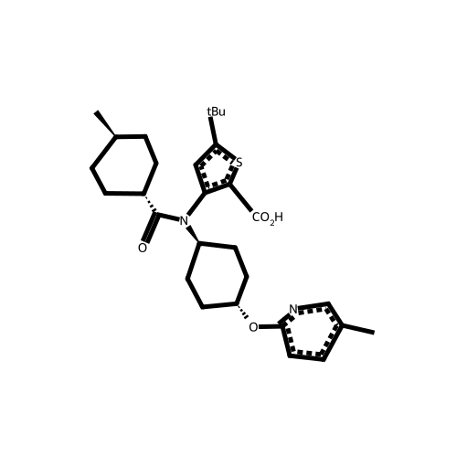 Cc1ccc(O[C@H]2CC[C@H](N(c3cc(C(C)(C)C)sc3C(=O)O)C(=O)[C@H]3CC[C@H](C)CC3)CC2)nc1